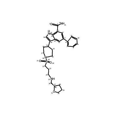 NC(=O)c1cc(-c2ccccc2)cc2c(C3CCN(S(=O)(=O)CCCNC[C@H]4CCCO4)CC3)c[nH]c12